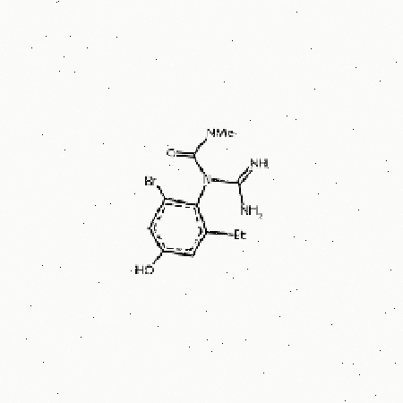 CCc1cc(O)cc(Br)c1N(C(=N)N)C(=O)NC